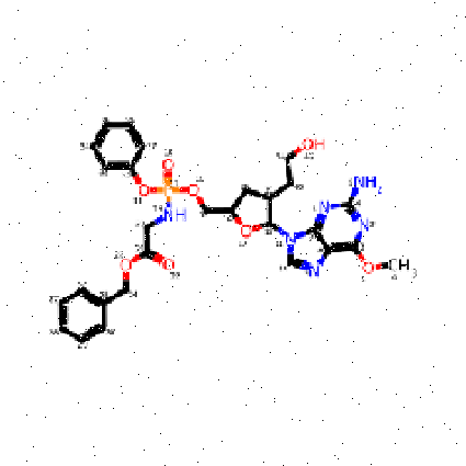 COc1nc(N)nc2c1ncn2C1OC(COP(=O)(NCC(=O)OCc2ccccc2)Oc2ccccc2)CC1CCO